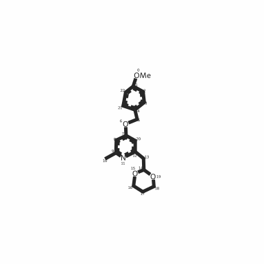 COc1ccc(COc2cc(C)nc(CC3OCCCO3)c2)cc1